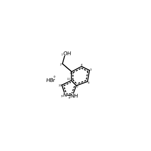 Br.OCc1cccc2[nH]ncc12